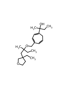 CCC1(CC(C)(CC)OCC2=CC=C(C(C)(O)CC)CC=C2)CCOC1